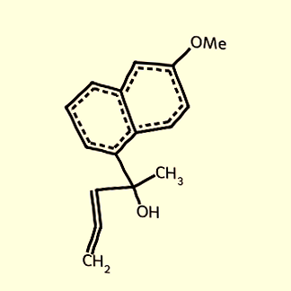 C=C=CC(C)(O)c1cccc2cc(OC)ccc12